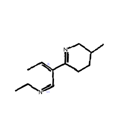 C/C=C(\C=N/CC)C1=NCC(C)CC1